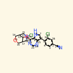 N#Cc1ccc(-c2c[nH]c3c(OC4C5COCC4CN(Cl)C5)ncnc23)c(Cl)c1